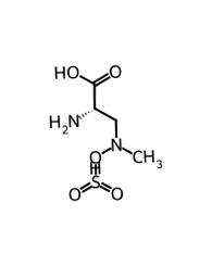 CN(C[C@H](N)C(=O)O)O[SH](=O)=O